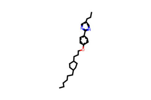 CCCCCCC1CCC(CCCOc2ccc(-c3ncc(CCC)cn3)cc2)CC1